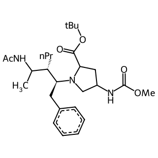 CCC[C@@H](C(C)NC(C)=O)[C@H](Cc1ccccc1)N1CC(NC(=O)OC)CC1C(=O)OC(C)(C)C